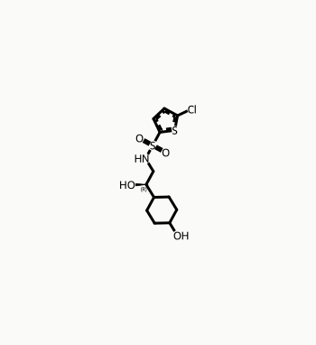 O=S(=O)(NC[C@H](O)C1CCC(O)CC1)c1ccc(Cl)s1